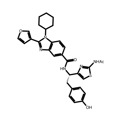 CC(=O)Nc1nc([C@H](Cc2ccc(O)cc2)NC(=O)c2ccc3c(c2)nc(-c2ccoc2)n3C2CCCCC2)cs1